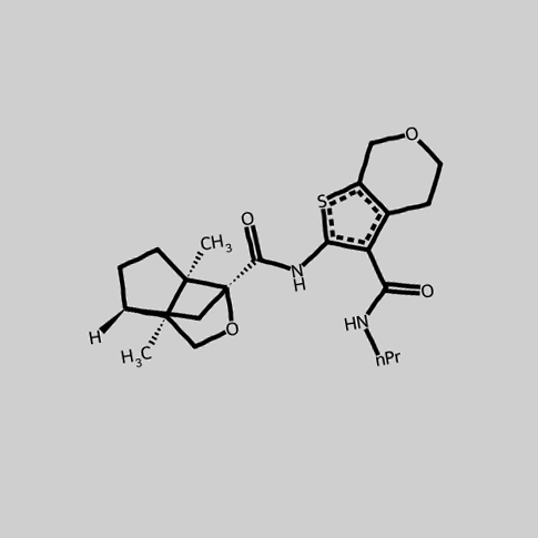 CCCNC(=O)c1c(NC(=O)[C@]23C[C@H]4CC[C@]2(C)[C@@]4(C)CO3)sc2c1CCOC2